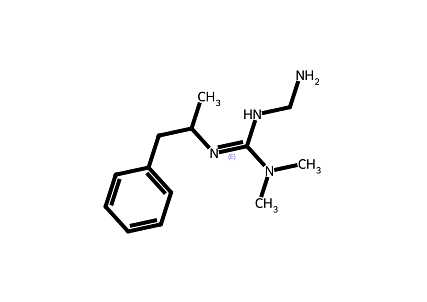 CC(Cc1ccccc1)/N=C(\NCN)N(C)C